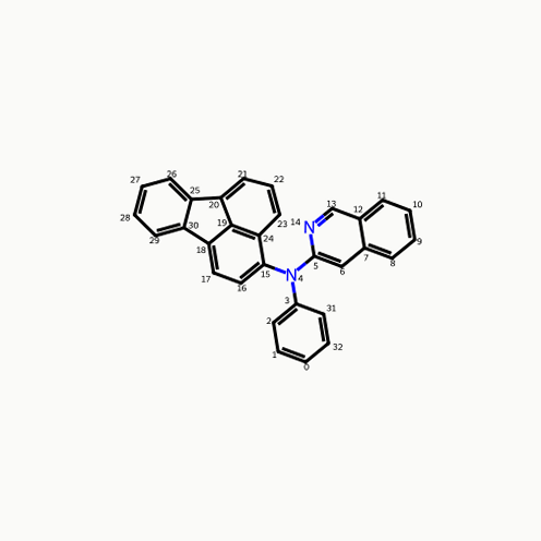 c1ccc(N(c2cc3ccccc3cn2)c2ccc3c4c(cccc24)-c2ccccc2-3)cc1